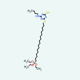 CCCCNc1nc(S)nc(SCCCCCCCCCCCCCCCCCC[Si](OCC)(OCC)OCC)n1